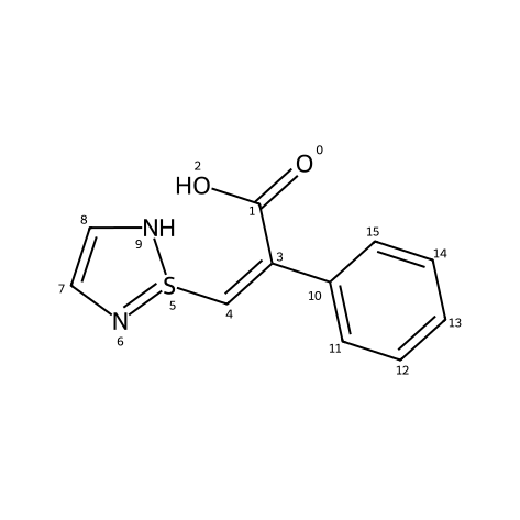 O=C(O)C(=CS1=NC=CN1)c1ccccc1